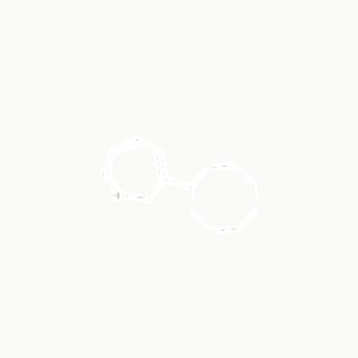 c1co[pH]oc(C2CCCCCCC2)c1